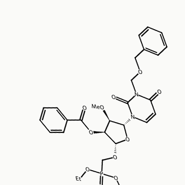 CCOP(=O)(CO[C@H]1O[C@@H](n2ccc(=O)n(COCc3ccccc3)c2=O)[C@H](OC)[C@@H]1OC(=O)c1ccccc1)OCC